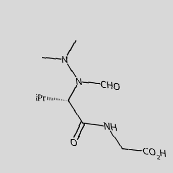 CC(C)[C@@H](C(=O)NCC(=O)O)N(C=O)N(C)C